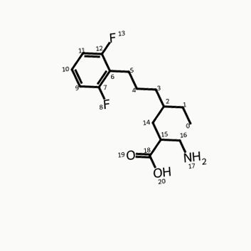 CCC(CCCc1c(F)cccc1F)CC(CN)C(=O)O